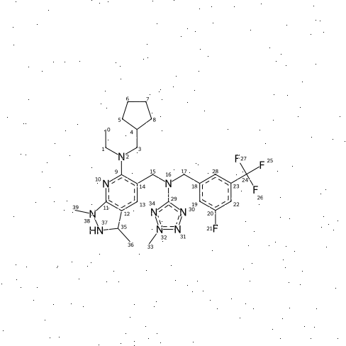 CCN(CC1CCCC1)c1nc2c(cc1CN(Cc1cc(F)cc(C(F)(F)F)c1)c1nnn(C)n1)C(C)NN2C